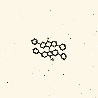 Brc1c2cc(-c3ccccc3)ccc2c(-c2c3ccc(-c4ccccc4)cc3c(Br)c3ccc(-c4ccccc4)cc23)c2cc(-c3ccccc3)ccc12